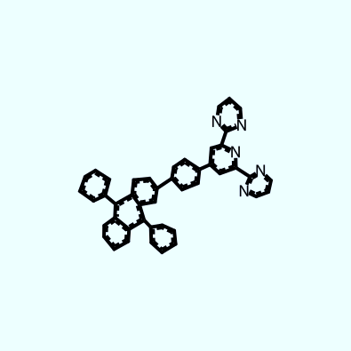 c1ccc(-c2c3ccccc3c(-c3ccccc3)c3cc(-c4ccc(-c5cc(-c6ncccn6)nc(-c6ncccn6)c5)cc4)ccc23)cc1